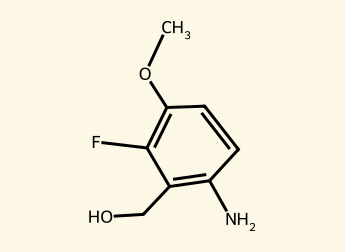 COc1ccc(N)c(CO)c1F